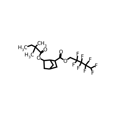 CCC(C)(C)C(=O)OC1CC2CC(C(=O)OCC(F)(F)C(F)(F)C(F)(F)C(F)F)C1C2